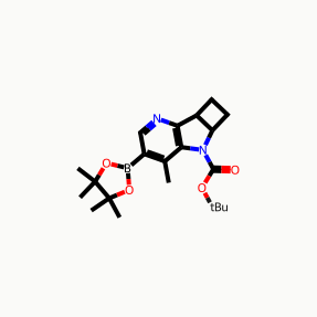 Cc1c(B2OC(C)(C)C(C)(C)O2)cnc2c1N(C(=O)OC(C)(C)C)C1CCC21